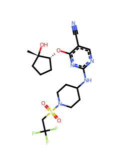 C[C@]1(O)CCC[C@H]1Oc1nc(NC2CCN(S(=O)(=O)CC(F)(F)F)CC2)ncc1C#N